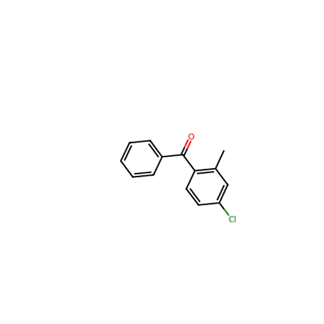 Cc1cc(Cl)ccc1C(=O)c1ccccc1